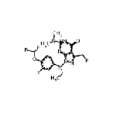 CC[C@H](c1ccc(OC(F)F)c(F)c1)n1nc(CF)c2c(=O)[nH]c(N(C)C)nc21